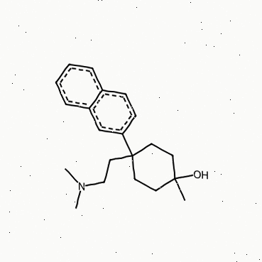 CN(C)CCC1(c2ccc3ccccc3c2)CCC(C)(O)CC1